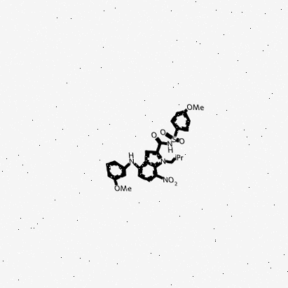 COc1ccc(S(=O)(=O)NC(=O)c2cc3c(Nc4cccc(OC)c4)ccc([N+](=O)[O-])c3n2CC(C)C)cc1